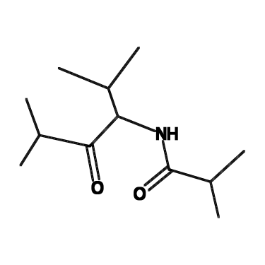 CC(C)C(=O)NC(C(=O)C(C)C)C(C)C